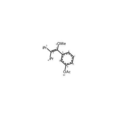 COC(=C(C(C)C)C(C)C)c1cccc(OC(C)=O)c1